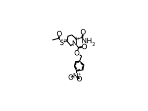 CC(=O)S[C@H]1CC[C@@H](C(N)=O)N(C(=O)OCc2ccc([N+](=O)[O-])cc2)C1